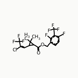 CC1(C)C(/C=C(/Cl)C(F)(F)F)C1C(=O)OCc1ccc(F)c(C(F)(F)F)c1F